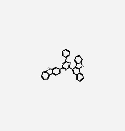 c1ccc(-c2nc(-c3ccc4c(c3)oc3ccccc34)nc(-c3cc4ccccc4c4sc5ccccc5c34)n2)cc1